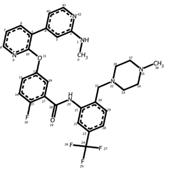 CNc1cc(-c2cccnc2Oc2ccc(F)c(C(=O)Nc3cc(C(F)(F)F)ccc3CN3CCN(C)CC3)c2)ccn1